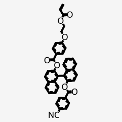 C=CC(=O)OCCOc1ccc(C(=O)Oc2ccc3ccccc3c2-c2c(OC(=O)c3ccc(C#N)cc3)ccc3ccccc23)cc1